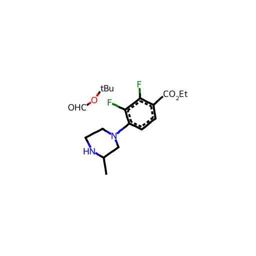 CC(C)(C)OC=O.CCOC(=O)c1ccc(N2CCNC(C)C2)c(F)c1F